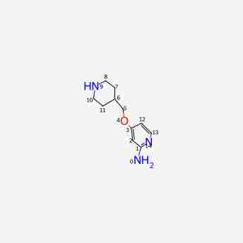 Nc1cc(OCC2CCNCC2)ccn1